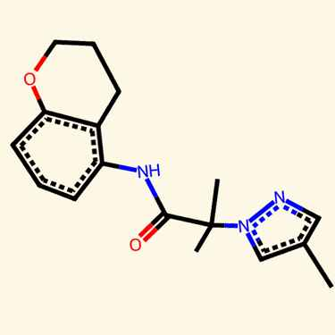 Cc1cnn(C(C)(C)C(=O)Nc2cccc3c2CCCO3)c1